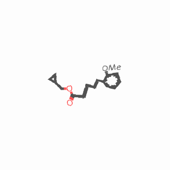 COc1ccccc1C=CC=CC(=O)OCC1CC1